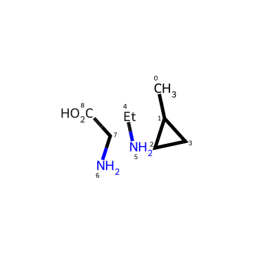 CC1CC1.CCN.NCC(=O)O